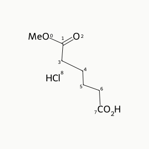 COC(=O)CCCCC(=O)O.Cl